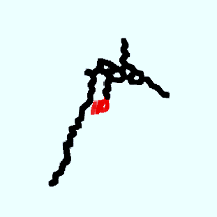 CCCCCCCCCCCCCCCCCCCCC(C)C1CCC2C1C(CCCCO)CC1C3CCC(CCCCC)CC3CC(CCCCC)C12